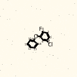 Fc1ccc(Cl)cc1Oc1ccccc1